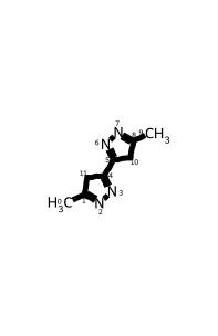 CC1=NN=C(C2=NN=C(C)C2)C1